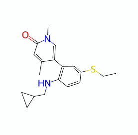 CCSc1ccc(NCC2CC2)c(-c2cn(C)c(=O)cc2C)c1